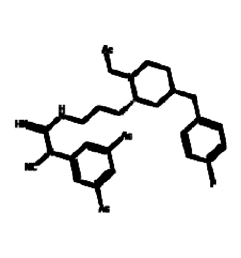 CC(=O)CN1CC[C@@H](Cc2ccc(F)cc2)C[C@@H]1CCCNC(=N)N(C#N)c1cc(C(C)=O)cc(C(C)=O)c1